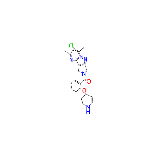 Cc1nc2c3c(nn2c(C)c1Cl)CN(C(=O)C1=CC=CC[C@H]1OC1CCNCC1)C3